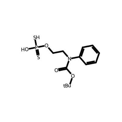 CC(C)(C)OC(=O)N(CCOP(O)(=S)S)c1ccccc1